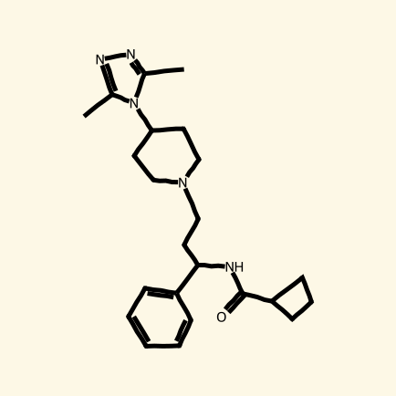 Cc1nnc(C)n1C1CCN(CCC(NC(=O)C2CCC2)c2ccccc2)CC1